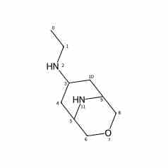 CCNC1CC2COCC(C1)N2